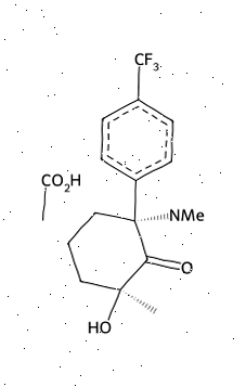 CC(=O)O.CN[C@@]1(c2ccc(C(F)(F)F)cc2)CCC[C@](C)(O)C1=O